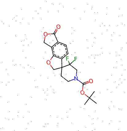 CC(C)(C)OC(=O)N1CCC2(COc3c2ccc2c3COC2=O)C(F)(F)C1